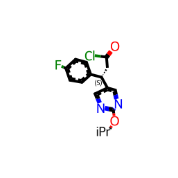 CC(C)Oc1ncc([C@@H](CC(=O)Cl)c2ccc(F)cc2)cn1